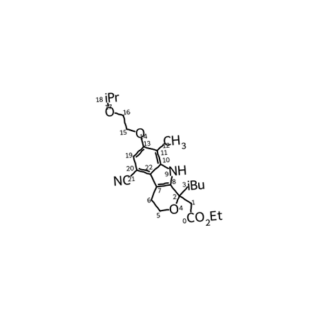 CCOC(=O)CC1(C(C)CC)OCCc2c1[nH]c1c(C)c(OCCOC(C)C)cc(C#N)c21